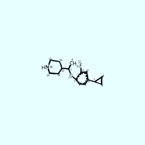 CC(Oc1ccc(C2CC2)cc1F)C1CCNCC1